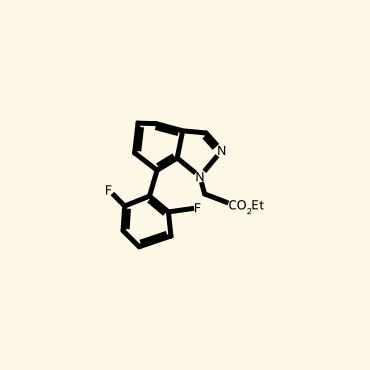 CCOC(=O)Cn1ncc2cccc(-c3c(F)cccc3F)c21